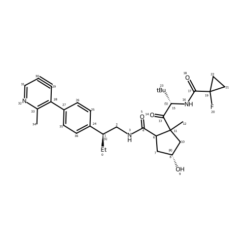 CC[C@H](CNC(=O)C1C[C@@H](O)CC1(C)C(=O)[C@@H](NC(=O)C1(F)CC1)C(C)(C)C)c1ccc(-c2c#ccnc2C)cc1